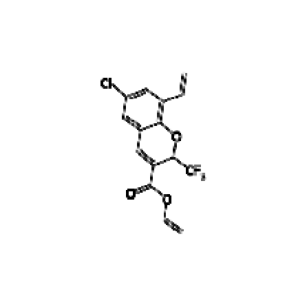 C=COC(=O)C1=Cc2cc(Cl)cc(C=C)c2OC1C(F)(F)F